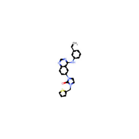 C=Cc1cccc(Nc2ncnc3ccc(-n4ccn(Cc5cccs5)c4=O)cc23)c1